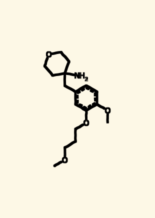 COCCCOc1cc(CC2(N)CCOCC2)ccc1OC